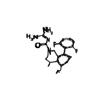 CC1CN(C(=O)N=C(N)N)Cc2c(-c3c(F)cccc3F)ccc(F)c21